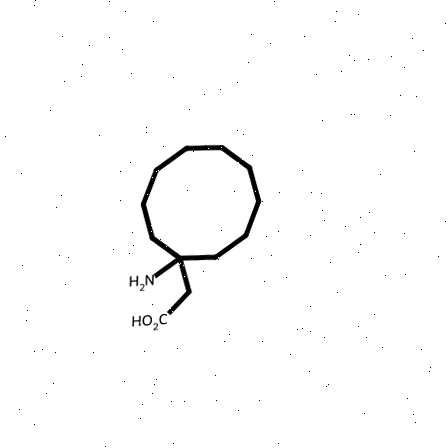 NC1(CC(=O)O)CCCCCCCCC1